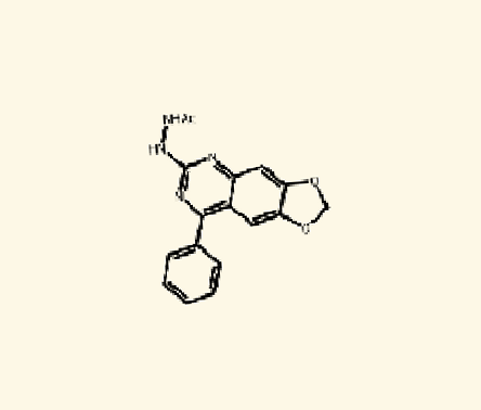 CC(=O)NNc1nc(-c2ccccc2)c2cc3c(cc2n1)OCO3